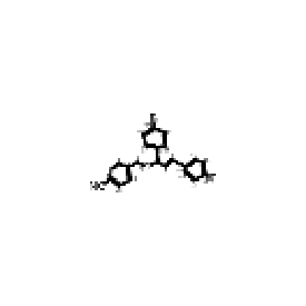 N#Cc1ccc(CSC(C=Cc2ccc(F)cc2)c2ccc(F)cc2)cc1